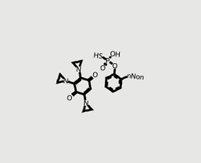 CCCCCCCCCc1ccccc1OP(=O)(O)S.O=C1C=C(N2CC2)C(=O)C(N2CC2)=C1N1CC1